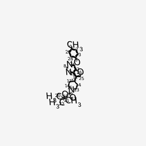 Cc1ccc(Oc2ncnc3c(C4CCN(C(=O)OC(C)(C)C)CC4)coc23)cc1